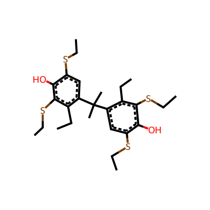 CCSc1cc(C(C)(C)c2cc(SCC)c(O)c(SCC)c2CC)c(CC)c(SCC)c1O